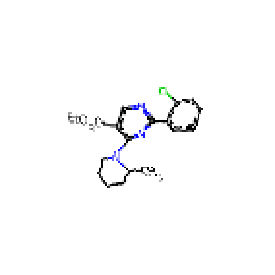 CCOC(=O)c1cnc(-c2ccccc2Cl)nc1N1CCCCC1C